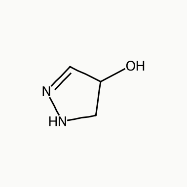 OC1C=NNC1